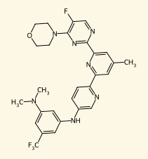 Cc1cc(-c2ccc(Nc3cc(N(C)C)cc(C(F)(F)F)c3)cn2)nc(-c2ncc(F)c(N3CCOCC3)n2)c1